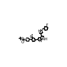 COc1cc(-c2cnc3[nH]cc(-c4cnn(Cc5cccc(F)c5)c4)c3c2)ccc1C1CCN(C(=O)OC(C)(C)C)CC1